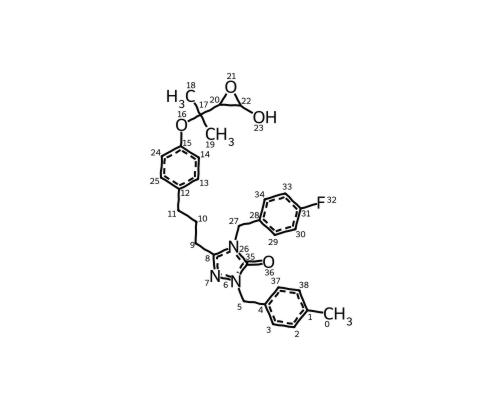 Cc1ccc(Cn2nc(CCCc3ccc(OC(C)(C)C4OC4O)cc3)n(Cc3ccc(F)cc3)c2=O)cc1